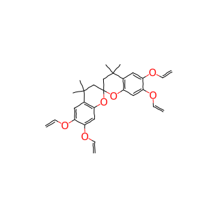 C=COc1cc2c(cc1OC=C)C(C)(C)CC1(CC(C)(C)c3cc(OC=C)c(OC=C)cc3O1)O2